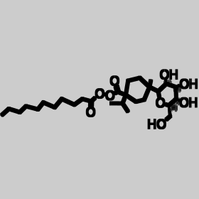 CCCCCCCCCCC(=O)OOC(=O)C1(C(C)C)CCC(C)(C2O[C@H](CO)[C@@H](O)[C@H](O)[C@H]2O)CC1